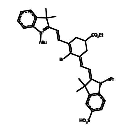 CCCC[N+]1=C(/C=C/C2=C(Br)C(=C/C=C3/N(CCC)c4ccc(S(=O)(=O)O)cc4C3(C)C)/CC(C(=O)OCC)C2)C(C)(C)c2ccccc21